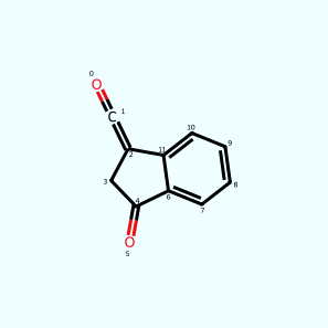 O=C=C1CC(=O)c2ccccc21